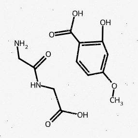 COc1ccc(C(=O)O)c(O)c1.NCC(=O)NCC(=O)O